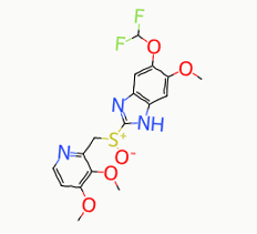 COc1cc2[nH]c([S+]([O-])Cc3nccc(OC)c3OC)nc2cc1OC(F)F